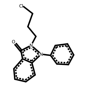 O=c1c2ccccc2n(-c2ccccc2)n1CCCCl